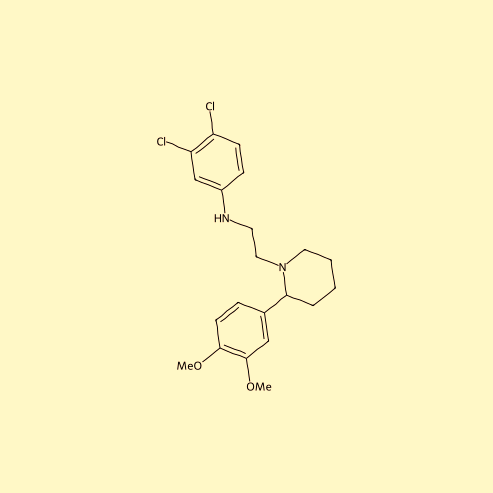 COc1ccc(C2CCCCN2CCNc2ccc(Cl)c(Cl)c2)cc1OC